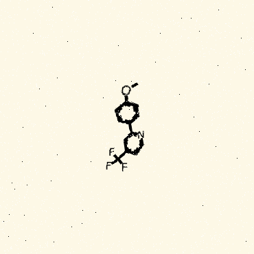 COc1ccc(-c2cc(C(F)(F)F)ccn2)cc1